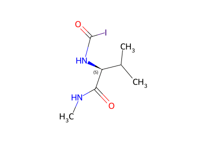 CNC(=O)[C@@H](NC(=O)I)C(C)C